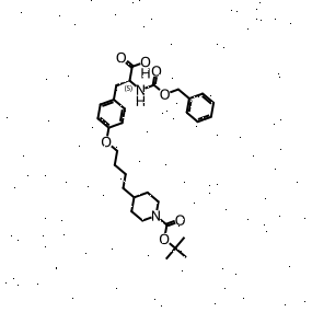 CC(C)(C)OC(=O)N1CCC(CCCCOc2ccc(C[C@H](NC(=O)OCc3ccccc3)C(=O)O)cc2)CC1